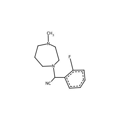 CN1CCCN(C(C#N)c2ccccc2F)CC1